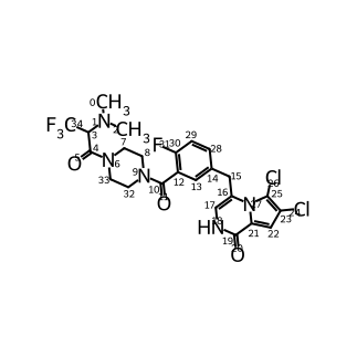 CN(C)C(C(=O)N1CCN(C(=O)c2cc(Cc3c[nH]c(=O)c4cc(Cl)c(Cl)n34)ccc2F)CC1)C(F)(F)F